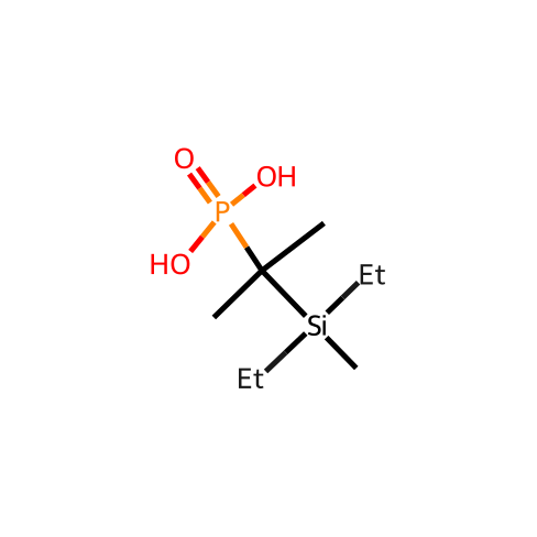 CC[Si](C)(CC)C(C)(C)P(=O)(O)O